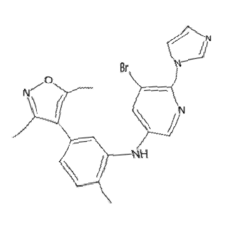 Cc1ccc(-c2c(C)noc2C)cc1Nc1cnc(-n2ccnc2)c(Br)c1